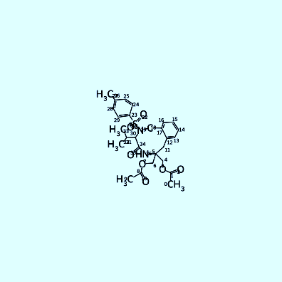 CC(=O)OCC1(COC(C)=O)Cc2ccccc2CN(S(=O)(=O)c2ccc(C)cc2)C(C(C)C)C(=O)N1